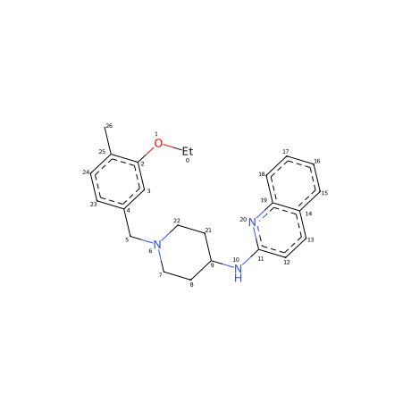 CCOc1cc(CN2CCC(Nc3ccc4ccccc4n3)CC2)ccc1C